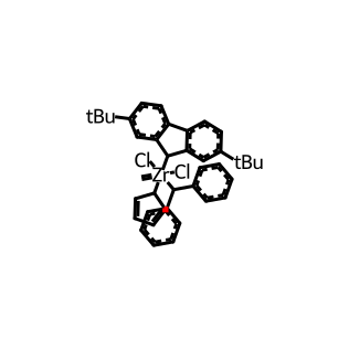 [CH2]=[Zr]([Cl])([Cl])([CH]1C=CC=C1)([CH](c1ccccc1)c1ccccc1)[CH]1c2cc(C(C)(C)C)ccc2-c2ccc(C(C)(C)C)cc21